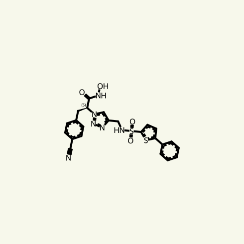 N#Cc1ccc(C[C@@H](C(=O)NO)n2cc(CNS(=O)(=O)c3ccc(-c4ccccc4)s3)nn2)cc1